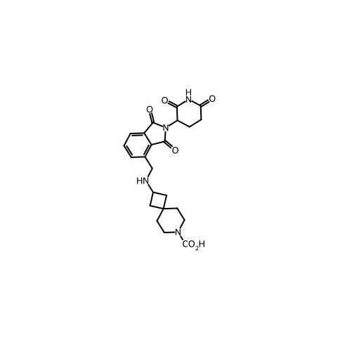 O=C1CCC(N2C(=O)c3cccc(CNC4CC5(CCN(C(=O)O)CC5)C4)c3C2=O)C(=O)N1